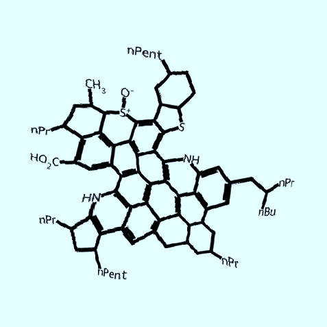 CCCCCC1CCC2Sc3c(c4c5c6c7c(c(C(=O)O)cc6c6c8[nH]c9c(c%10cc%11c%12c%13c%14c%15c(cc(CC(CCC)CCCC)cc%15[nH]c%15c3c5c6c(c%15%14)c%12c%108)C3CC(CCC)CC(C%11)C%133)C(CCCCC)CC9CCC)C(CCC)CC(C)C7[S+]4[O-])C2C1